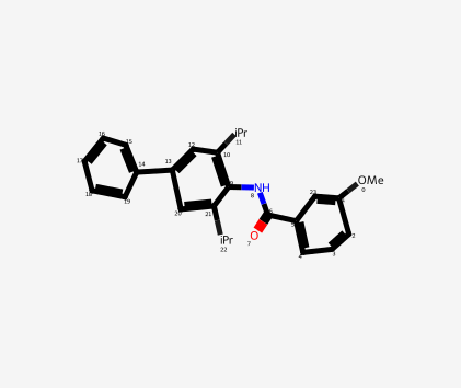 COc1cccc(C(=O)Nc2c(C(C)C)cc(-c3ccccc3)cc2C(C)C)c1